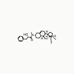 C[C@H]1[C@H]2CC[C@H]3[C@@H]4CC=C5C[C@@H](N(C)C(=O)[C@@H](O)Cc6ccccc6)CC[C@]5(C)[C@H]4CC[C@]23CN1C